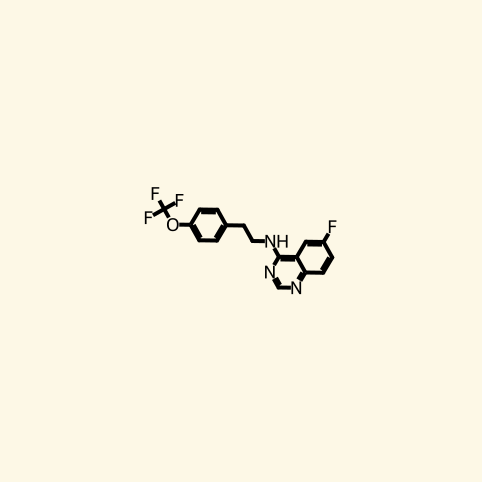 Fc1ccc2ncnc(NCCc3ccc(OC(F)(F)F)cc3)c2c1